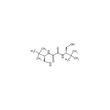 CC(C)(C)[C@H](CO)NC(=O)C(=O)N[C@@H](CO)C(C)(C)C